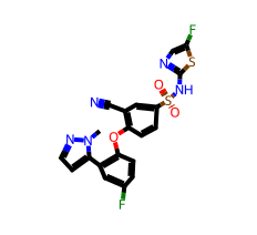 Cn1nccc1-c1cc(F)ccc1Oc1ccc(S(=O)(=O)Nc2ncc(F)s2)cc1C#N